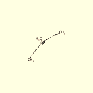 CCCCCCCCCCCCCCCC[n+]1ccn(CCCCCCCCCCCCCCC)c1CCC